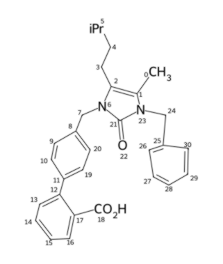 Cc1c(CCC(C)C)n(Cc2ccc(-c3ccccc3C(=O)O)cc2)c(=O)n1Cc1ccccc1